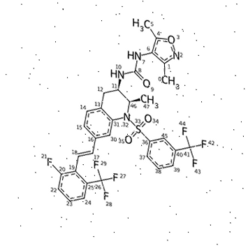 Cc1noc(C)c1NC(=O)N[C@@H]1Cc2ccc(/C=C/c3c(F)cccc3C(F)(F)F)cc2N(S(=O)(=O)c2cccc(C(F)(F)F)c2)[C@@H]1C